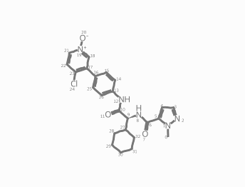 Cn1nccc1C(=O)N[C@H](C(=O)Nc1ccc(-c2c[n+]([O-])ccc2Cl)cc1)C1CCCCC1